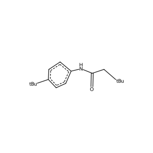 CC(C)(C)CC(=O)Nc1ccc(C(C)(C)C)cc1